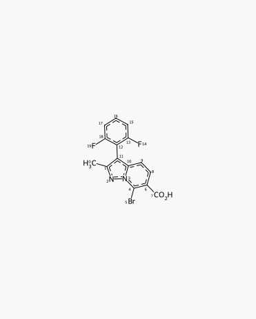 Cc1nn2c(Br)c(C(=O)O)ccc2c1-c1c(F)cccc1F